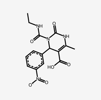 CCNC(=O)N1C(=O)NC(C)=C(C(=O)O)C1c1cccc([N+](=O)[O-])c1